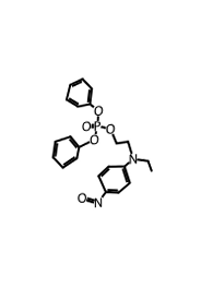 CCN(CCOP(=O)(Oc1ccccc1)Oc1ccccc1)c1ccc(N=O)cc1